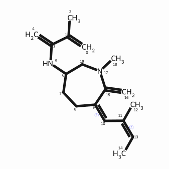 C=C(C)C(=C)NC1CC/C(=C/C(C)=C\C)C(=C)N(C)C1